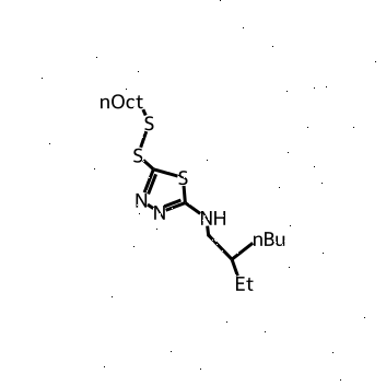 CCCCCCCCSSc1nnc(NCC(CC)CCCC)s1